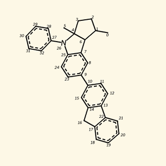 CC1CCC2(C)C1c1cc(-c3ccc4c(c3)Cc3ccccc3-4)ccc1N2c1ccccc1